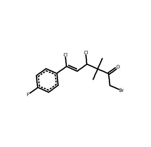 CC(C)(C(=O)CBr)C(Cl)C=C(Cl)c1ccc(F)cc1